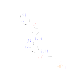 Cc1cc(Nc2ncnc3ccc(NC(=O)C#CCCOPI)cc23)ccc1Oc1ccn2ccnc2c1